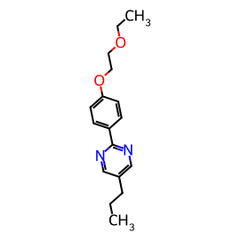 CCCc1cnc(-c2ccc(OCCOCC)cc2)nc1